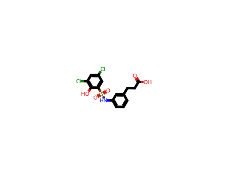 O=C(O)CCc1cccc(NS(=O)(=O)c2cc(Cl)cc(Cl)c2O)c1